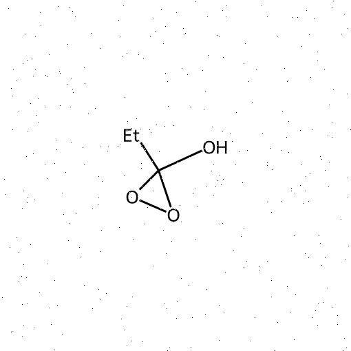 CCC1(O)OO1